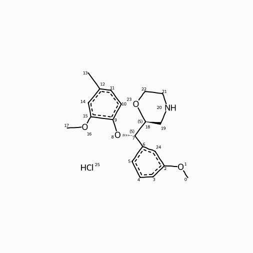 COc1cccc([C@H](Oc2ccc(C)cc2OC)[C@@H]2CNCCO2)c1.Cl